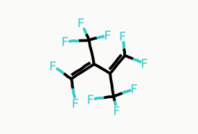 FC(F)=C(C(=C(F)F)C(F)(F)F)C(F)(F)F